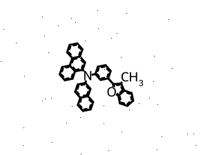 Cc1c(-c2cccc(N(c3ccc4ccccc4c3)c3cc4ccccc4c4ccccc34)c2)oc2ccccc12